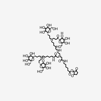 O=C(CN(CCNCCCCCN(CCC[C@H]1O[C@H](CO)[C@@H](O)[C@H](O)[C@@H]1O)CCC(=O)[C@H]1O[C@H](CO)[C@@H](O)[C@H](O)[C@@H]1O)CC(=O)NCCCCCN(CCC[C@H]1O[C@H](CO)[C@@H](O)[C@H](O)[C@@H]1O)CCC[C@H]1O[C@H](CO)[C@@H](O)[C@H](O)[C@@H]1O)NCCCCCC(=O)ON1C(=O)CCC1=O